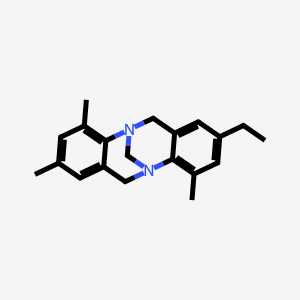 CCc1cc(C)c2c(c1)CN1CN2Cc2cc(C)cc(C)c21